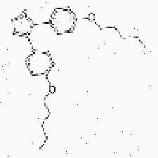 CCCCCOc1ccc(-c2ccsc2-c2ccc(OCCCCC)cc2)cc1